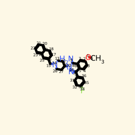 COc1ccc2c(c1)C(N)N(C1CCN(Cc3ccc4ccccc4c3)CC1)N=C2c1ccc(F)cc1